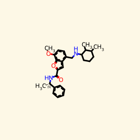 COc1ccc(CNC2CCCC(C)C2C)c2cc(C(=O)N[C@@H](C)c3ccccc3)oc12